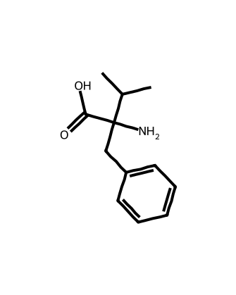 CC(C)C(N)(Cc1ccccc1)C(=O)O